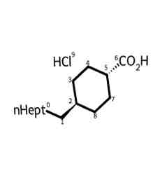 CCCCCCCC[C@H]1CC[C@H](C(=O)O)CC1.Cl